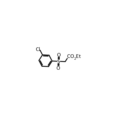 CCOC(=O)CS(=O)(=O)c1cccc(Cl)c1